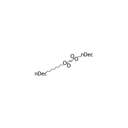 CCCCCCCCCCCCCCCCCCOC(=O)/C=C/C(=O)OCCCCCCCCCCCC